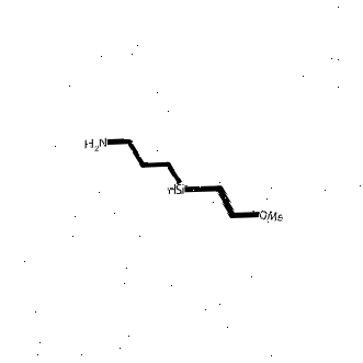 COCC[SiH]CCCN